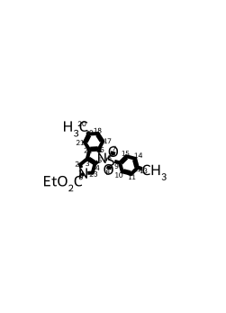 CCOC(=O)N1Cc2c(n(S(=O)(=O)c3ccc(C)cc3)c3ccc(C)cc23)C1